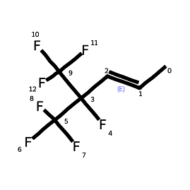 C/C=C/C(F)(C(F)(F)F)C(F)(F)F